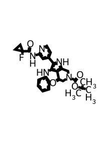 CC(C)(C)OC(=O)N1CC(=O)c2c([nH]c(-c3ccnc(NC(=O)C4(F)CC4)c3)c2Nc2ccccc2)C1